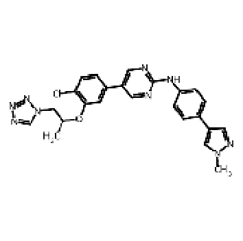 C[C@@H](Cn1cnnn1)Oc1cc(-c2cnc(Nc3ccc(-c4cnn(C)c4)cc3)nc2)ccc1Cl